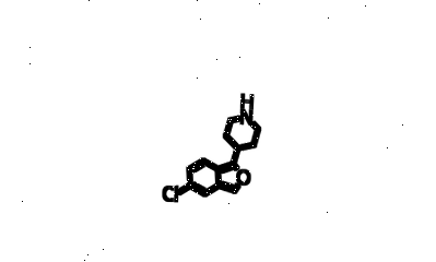 Clc1ccc2c(C3CCNCC3)occ2c1